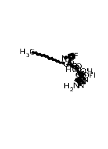 CCCCCCCCCCCCCCCCCCOC[C@H](COP(=O)(O)OC[C@H]1O[C@@](C#N)(c2ccc3c(N)ncnn23)[C@H](O)[C@@H]1O)OCc1cc(F)ccc1C#N